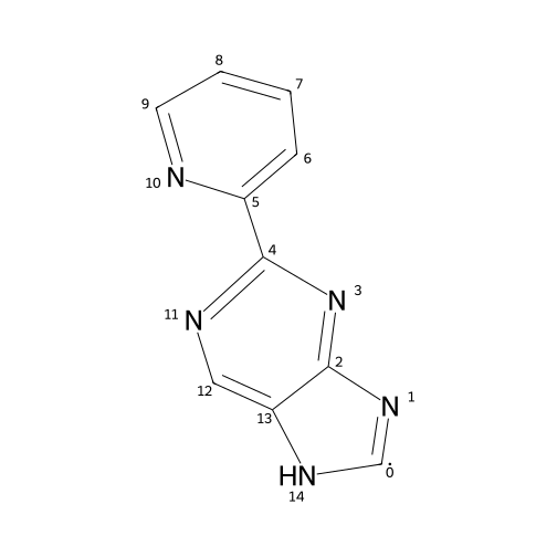 [c]1nc2nc(-c3ccccn3)ncc2[nH]1